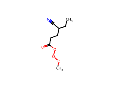 CCC(C#N)CCC(=O)OOOC